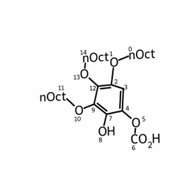 CCCCCCCCOc1cc(OC(=O)O)c(O)c(OCCCCCCCC)c1OCCCCCCCC